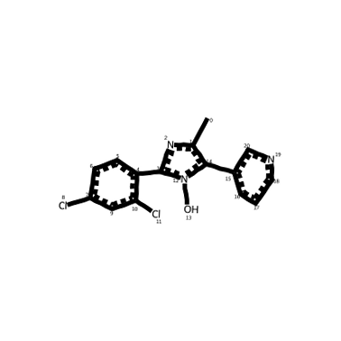 Cc1nc(-c2ccc(Cl)cc2Cl)n(O)c1-c1cccnc1